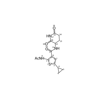 CC(=O)Nc1sc(C2CC2)cc1C(=O)NC1CCC(=O)NC1=O